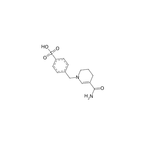 NC(=O)C1=CN(Cc2ccc(S(=O)(=O)O)cc2)CCC1